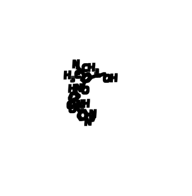 Cc1ccc(NC(=O)c2cc(C#CCO)cc(C(C)(C)C#N)c2)cc1NC(=O)c1ccc2nccnc2c1